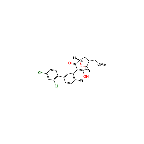 CCc1ccc(-c2ccc(Cl)cc2Cl)cc1C1=C(O)[C@]2(C)O[C@@H](CC2COC)C1=O